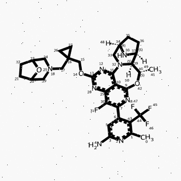 Cc1nc(N)cc(-c2nc3c4c(nc(OCC5(CN6CC7CCC(C6)O7)CC5)nc4c2F)N2C[C@H]4CC[C@H](N4)[C@H]2[C@H](C)O3)c1C(F)(F)F